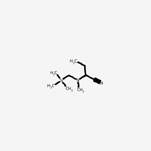 CCC(C#N)N(C)C[Si](C)(C)C